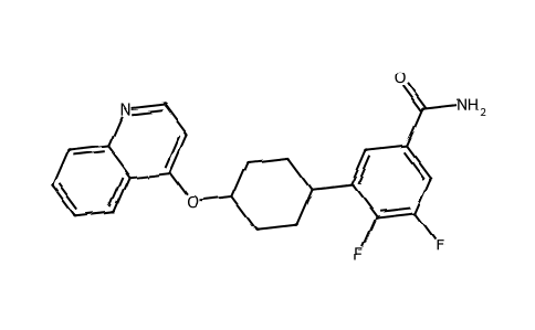 NC(=O)c1cc(F)c(F)c(C2CCC(Oc3ccnc4ccccc34)CC2)c1